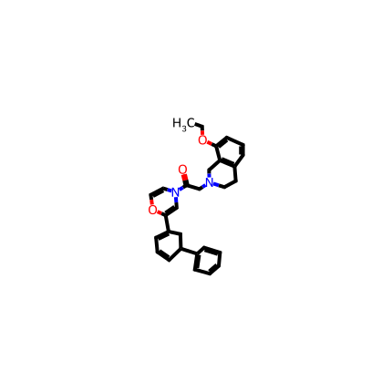 CCOc1cccc2c1CN(CC(=O)N1C=COC(C3=CC=CC(c4ccccc4)C3)=C1)CC2